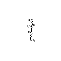 C=COC(=O)C(N)CCCC(=O)OCCCC